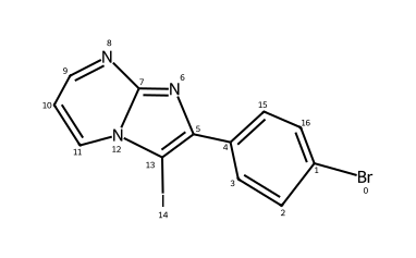 Brc1ccc(-c2nc3ncccn3c2I)cc1